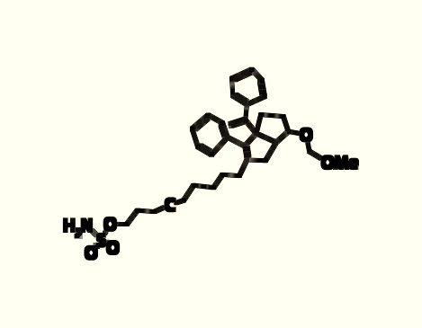 C=C(c1ccccc1)C12CCC(OCOC)C1CC(CCCCCCCCCOS(N)(=O)=O)=C2c1ccccc1